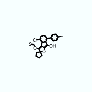 OC1=C2OC3(CCCC3)C(OC=S)=C2c2c(Cl)ccc(-c3ccc(F)cc3)c21